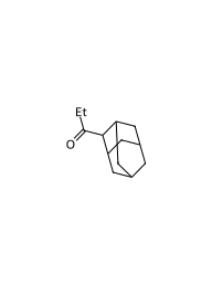 CCC(=O)C1C2CC3CC(C2)CC1C3